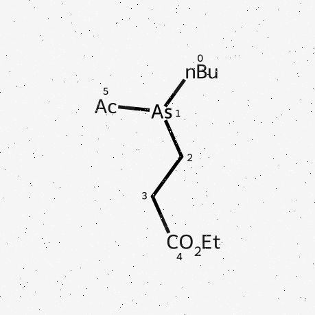 CCCC[As](CCC(=O)OCC)C(C)=O